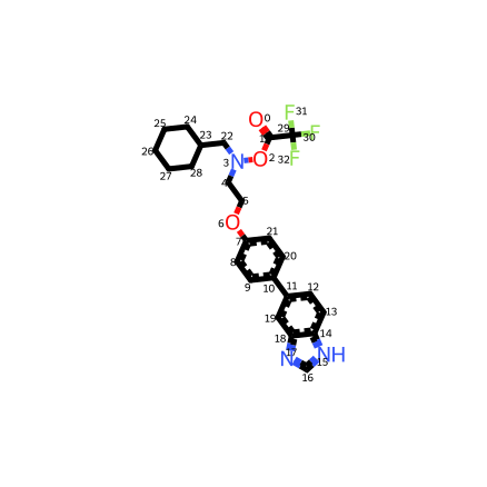 O=C(ON(CCOc1ccc(-c2ccc3[nH]cnc3c2)cc1)CC1CCCCC1)C(F)(F)F